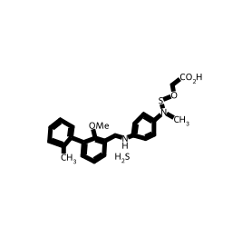 COc1c(CNc2ccc(N(C)SOCC(=O)O)cc2)cccc1-c1ccccc1C.S